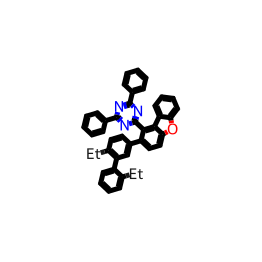 CCc1ccccc1-c1cc(-c2ccc3oc4ccccc4c3c2-c2nc(-c3ccccc3)nc(-c3ccccc3)n2)ccc1CC